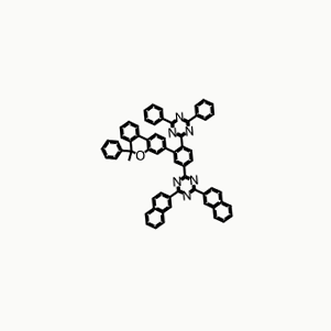 CC1(c2ccccc2)Oc2cc(-c3cc(-c4nc(-c5ccc6ccccc6c5)nc(-c5ccc6ccccc6c5)n4)ccc3-c3nc(-c4ccccc4)nc(-c4ccccc4)n3)ccc2-c2ccccc21